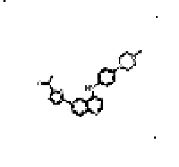 CC(=O)c1ccc(-c2ccc3nccc(Nc4ccc(N5CCN(C)CC5)cc4)c3c2)s1